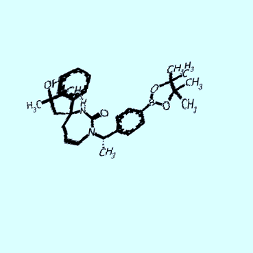 C[C@@H](c1ccc(B2OC(C)(C)C(C)(C)O2)cc1)N1CCC[C@](CC(C)(C)O)(c2ccccc2)NC1=O